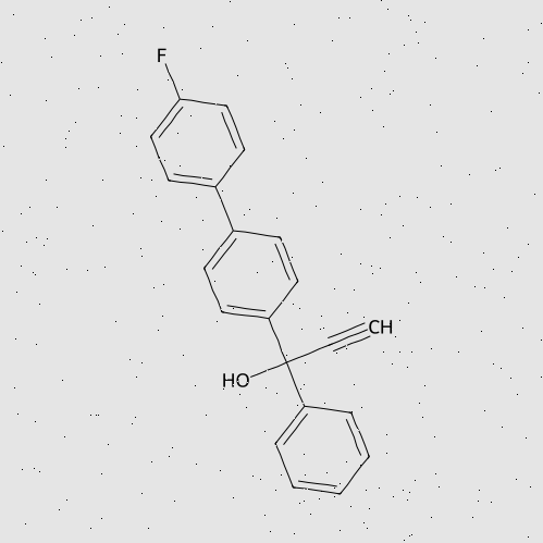 C#CC(O)(c1ccccc1)c1ccc(-c2ccc(F)cc2)cc1